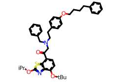 CC(C)Oc1nc2c(OC(C)(C)C)ccc(C(=O)CN(CCc3ccc(OCCCCc4ccccc4)cc3)Cc3ccccc3)c2s1